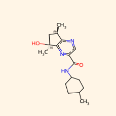 CC1CCC(NC(=O)c2cnc3c(n2)[C@@](C)(O)C[C@H]3C)CC1